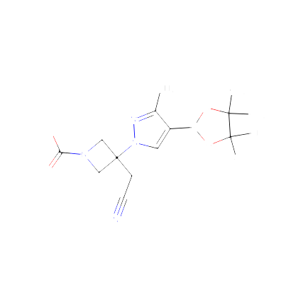 Cc1nn(C2(CC#N)CN(C(=O)O)C2)cc1B1OC(C)(C)C(C)(C)O1